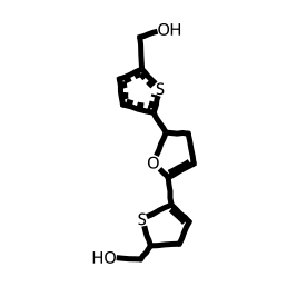 OCc1ccc(C2CC=C(C3=CCC(CO)S3)O2)s1